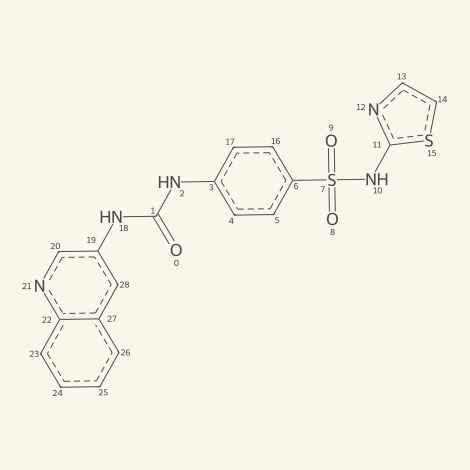 O=C(Nc1ccc(S(=O)(=O)Nc2nccs2)cc1)Nc1cnc2ccccc2c1